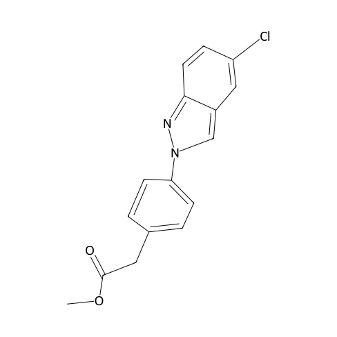 COC(=O)Cc1ccc(-n2cc3cc(Cl)ccc3n2)cc1